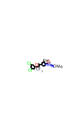 CO/N=C/NC(=O)c1ccc(C2=CC(c3cc(Cl)cc(Cl)c3)(C(F)(F)F)OC2)cc1C